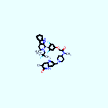 CCc1cc2ncc(CN3CCC(N(C)C(=O)COc4cc(F)c([C@@H]5c6[nH]c7ccccc7c6C[C@@H](C)N5CC(C)(C)F)c(F)c4)CC3)cc2[nH]c1=O